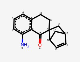 Nc1cccc2c1C(=O)C1(CC2)CC2C=CC1C2